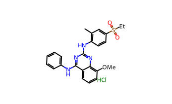 CCS(=O)(=O)c1ccc(Nc2nc(Nc3ccccc3)c3cccc(OC)c3n2)c(C)c1.Cl